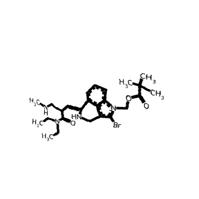 CCN(CC)C(=O)C(/C=C1\NCc2c(Br)n(COC(=O)C(C)(C)C)c3cccc1c23)CNC